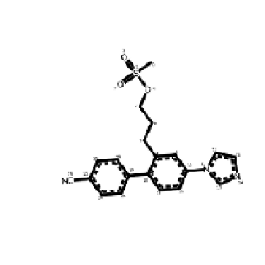 CS(=O)(=O)OCCCc1cc(-n2ccnc2)ccc1-c1ccc(C#N)cc1